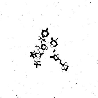 C=C1C[C@H](CCC2OCCO2)O[C@H]1CC[C@H]1C[C@H](C)C(=C)[C@@H](C[C@@H]2O[C@H](CC(CO[Si](C)(C)C(C)(C)C)O[Si](C)(C)C(C)(C)C)[C@@H](OC)[C@H]2CS(=O)(=O)c2ccc(C)cc2)O1